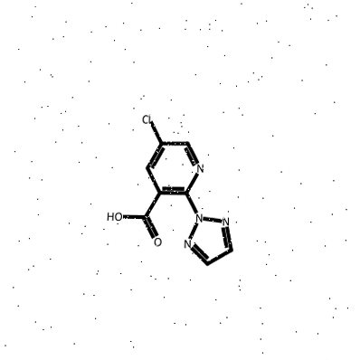 O=C(O)c1cc(Cl)cnc1-n1nccn1